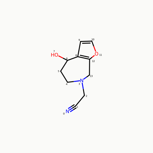 N#CCN1CCC(O)c2ccoc2C1